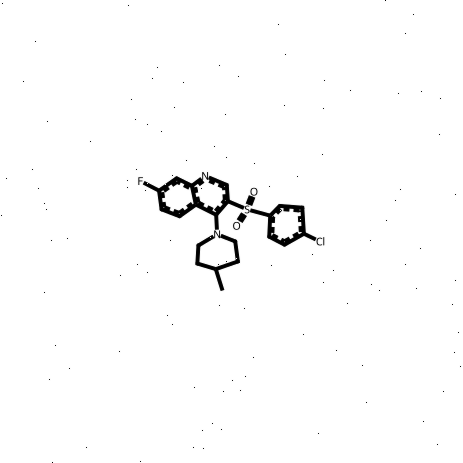 CC1CCN(c2c(S(=O)(=O)c3ccc(Cl)cc3)cnc3cc(F)ccc23)CC1